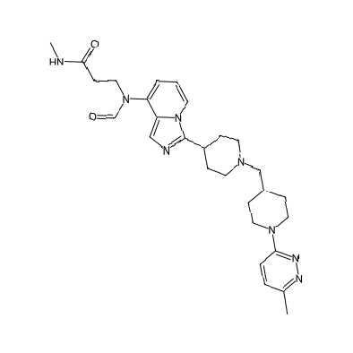 CNC(=O)CCN(C=O)c1cccn2c(C3CCN(CC4CCN(c5ccc(C)nn5)CC4)CC3)ncc12